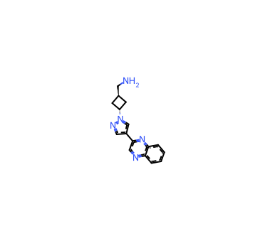 NC[C@H]1C[C@H](n2cc(-c3cnc4ccccc4n3)cn2)C1